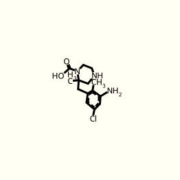 Cc1c(N)cc(Cl)cc1CC1(C)CNCCN1C(=O)O